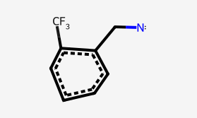 [N]Cc1ccccc1C(F)(F)F